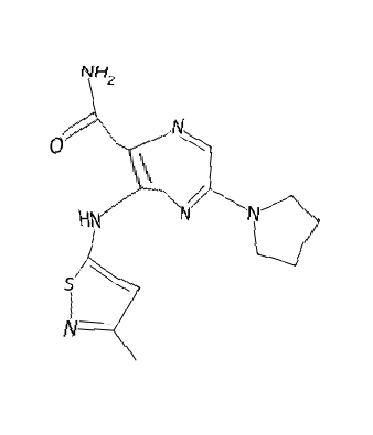 Cc1cc(Nc2nc(N3CCCC3)cnc2C(N)=O)sn1